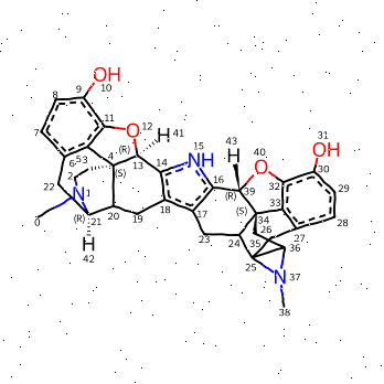 CN1CC[C@]23c4c5ccc(O)c4O[C@H]2c2[nH]c4c(c2CC3[C@H]1C5)CC1C23Cc5ccc(O)c6c5[C@@]1(CC2N3C)[C@H]4O6